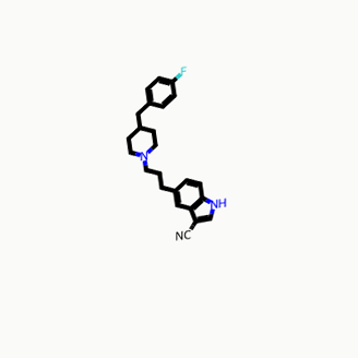 N#Cc1c[nH]c2ccc(CCCN3CCC(Cc4ccc(F)cc4)CC3)cc12